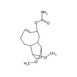 COC1(OC)C2CCC1C1CC(OC(N)=O)/C=C/CCC12